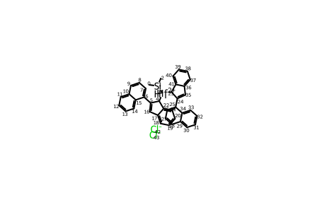 C[SiH](C)[Hf+2]([CH]1C(c2cccc3ccccc23)=Cc2ccccc21)[CH]1C(c2cccc3ccccc23)=Cc2ccccc21.[Cl-].[Cl-]